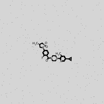 Cc1cc(C2CC2)cnc1N1CCN(C(=O)c2ccc(N3C[C@@H](C)CS3(=O)=O)cc2F)CC1